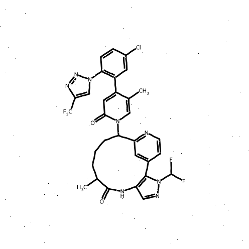 Cc1cn(C2CCCC(C)C(=O)Nc3cnn(C(F)F)c3-c3ccnc2c3)c(=O)cc1-c1cc(Cl)ccc1-n1cc(C(F)(F)F)nn1